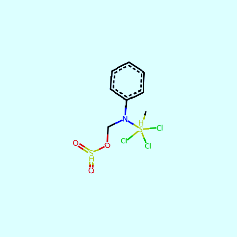 C[SH](Cl)(Cl)(Cl)N(CO[SH](=O)=O)c1ccccc1